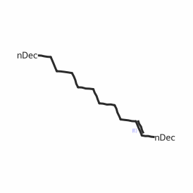 CCCCCCCCCC/C=C/CCCCCCCCCCCCCCCCCC